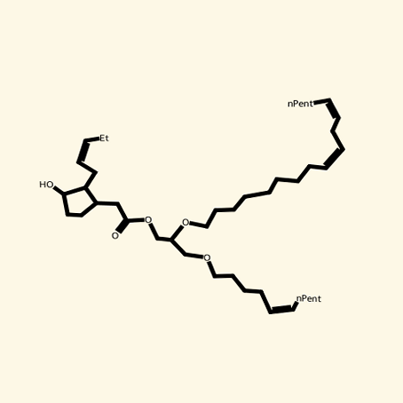 CC/C=C\CC1C(O)CCC1CC(=O)OCC(COCCCC/C=C\CCCCC)OCCCCCCCC/C=C\C/C=C\CCCCC